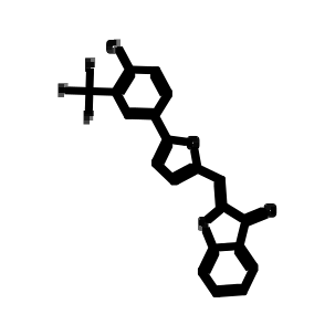 O=C1C(=Cc2ccc(-c3ccc(Cl)c(C(F)(F)F)c3)o2)Sc2ccccc21